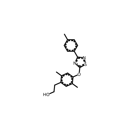 Cc1ccc(-c2nsc(Oc3cc(C)c(CCO)cc3C)n2)cc1